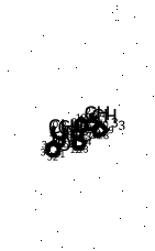 C/C=c1/c2c(o/c1=C(/C)n1c3ccccc3c3c4c(ccc31)C(C)(C)C1=C4CCC=C1)CCC=C2